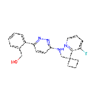 OCc1ccccc1-c1ccc(NCC2(c3ncccc3F)CCC2)nn1